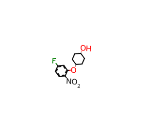 O=[N+]([O-])c1ccc(F)cc1O[C@H]1CC[C@@H](O)CC1